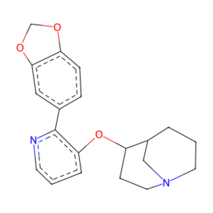 c1cnc(-c2ccc3c(c2)OCO3)c(OC2CCN3CCCC2C3)c1